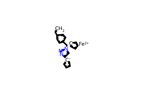 C=Cc1ccc(Cn2cc(-[c-]3cccc3)nn2)cc1.[Fe+2].c1cc[cH-]c1